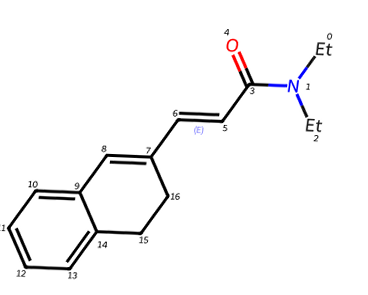 CCN(CC)C(=O)/C=C/C1=Cc2ccccc2CC1